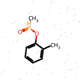 Cc1ccccc1O[PH](C)=O